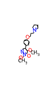 COCn1ncc(-c2ccc(OCCCN3CCCC3)cc2)c(OC)c1=O